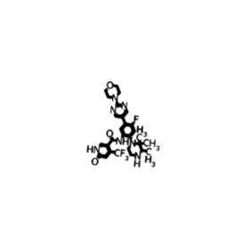 CC1NCCN(c2cc(F)c(-c3cnc(N4CCOCC4)nc3)cc2NC(=O)c2c[nH]c(=O)cc2C(F)(F)F)C1(C)C